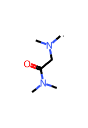 [CH2]N(C)CC(=O)N(C)C